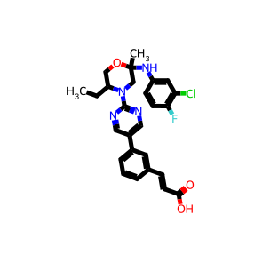 CCC1COC(C)(Nc2ccc(F)c(Cl)c2)CN1c1ncc(-c2cccc(C=CC(=O)O)c2)cn1